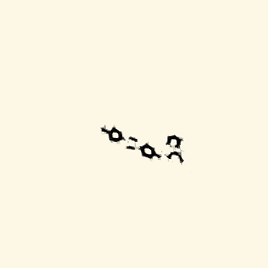 CCc1nc2c(Cl)cccn2c1C(=O)NCc1ccc(N2CCN(c3ccc(C(F)(F)F)cc3)CC2)cc1